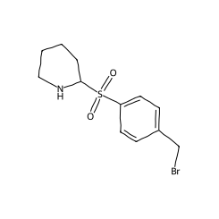 O=S(=O)(c1ccc(CBr)cc1)C1CCCCN1